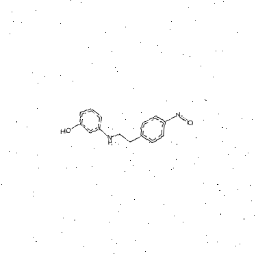 O=Nc1ccc(CCNc2cccc(O)c2)cc1